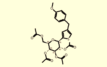 COc1ccc(Cc2csc([C@@H]3O[C@H](COC(C)=O)[C@@H](OC(C)=O)[C@H](OC(C)=O)[C@H]3OC(C)=O)c2)cc1